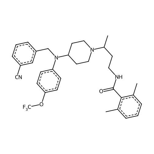 Cc1cccc(C)c1C(=O)NCCC(C)N1CCC(N(Cc2cccc(C#N)c2)c2ccc(OC(F)(F)F)cc2)CC1